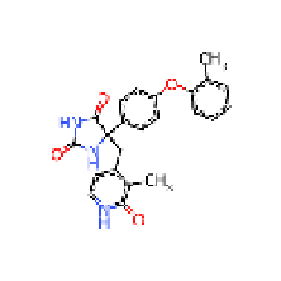 Cc1ccccc1Oc1ccc(C2(Cc3cc[nH]c(=O)c3C)NC(=O)NC2=O)cc1